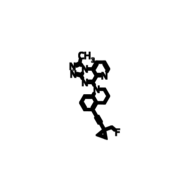 Cc1nnc2nc(N3CCCc4c(C#CC5(CF)CC5)cccc43)c3ncccc3n12